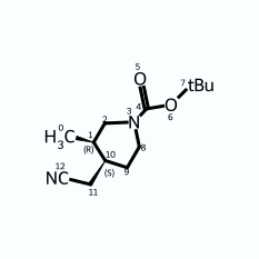 C[C@H]1CN(C(=O)OC(C)(C)C)CC[C@H]1CC#N